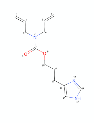 C=CCN(CC=C)C(=O)OCCCc1c[nH]cn1